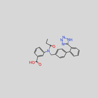 CCC(=O)N(Cc1ccc(-c2ccccc2-c2nnn[nH]2)cc1)c1cccc(C(=O)O)c1